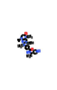 COc1cc(C(=O)NC(C)C2CCNCC2)ccc1N(C)c1ncc2c(n1)N(C1CC1)CCC(=O)N2C